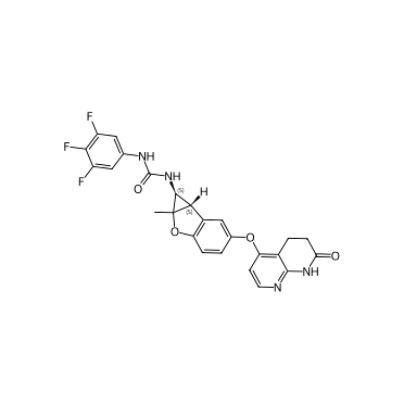 CC12Oc3ccc(Oc4ccnc5c4CCC(=O)N5)cc3[C@H]1[C@@H]2NC(=O)Nc1cc(F)c(F)c(F)c1